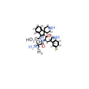 CC(C)(N)C(=O)N[C@H](Cc1c[nH]c2ccc(F)cc12)C(=O)[C@@H]1[C@@H](CC(=O)O)c2ccccc2C12CCNCC2